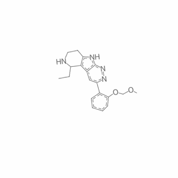 CCC1NCCc2[nH]c3nnc(-c4ccccc4OCOC)cc3c21